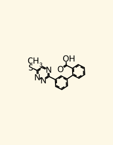 CSc1cnc(-c2cccc(-c3ccccc3C(=O)O)c2)nn1